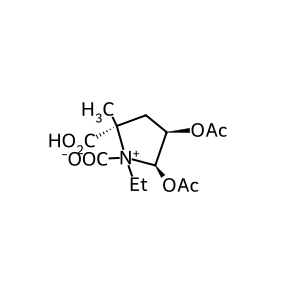 CC[N+]1(C(=O)[O-])[C@H](OC(C)=O)[C@H](OC(C)=O)C[C@@]1(C)C(=O)O